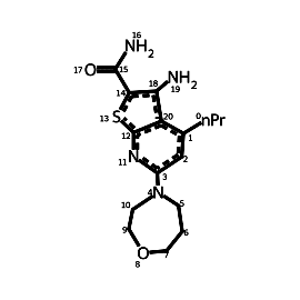 CCCc1cc(N2CCCOCC2)nc2sc(C(N)=O)c(N)c12